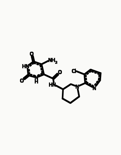 Nc1c(C(=O)NC2CCCN(c3ncccc3Cl)C2)[nH]c(=O)[nH]c1=O